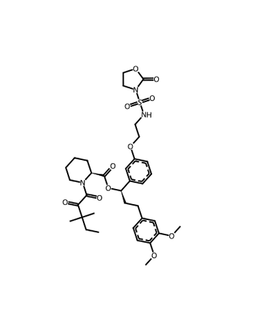 CCC(C)(C)C(=O)C(=O)N1CCCC[C@H]1C(=O)O[C@H](CCc1ccc(OC)c(OC)c1)c1cccc(OCCNS(=O)(=O)N2CCOC2=O)c1